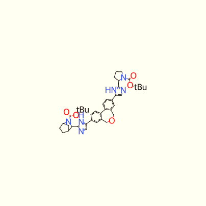 CC(C)(C)OC(=O)N1CCCC1c1ncc(-c2ccc3c(c2)COCc2cc(-c4cnc(C5C6CCC(C6)N5C(=O)OC(C)(C)C)[nH]4)ccc2-3)[nH]1